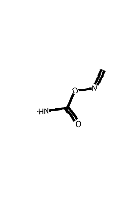 C=NOC([NH])=O